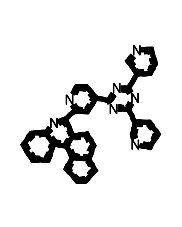 c1cncc(-c2nc(-c3cccnc3)nc(-c3ccnc(-c4nc5ccccc5c5c4ccc4ccccc45)c3)n2)c1